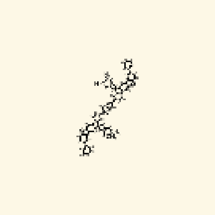 CCCCC1(CCCC)c2cc(-c3cc4sc(-c5ccc6c(c5)C(CCCC)(CCCC)C5C=c7c(oc8ccc(-c9ccccc9)cc78)=CC65)cc4s3)ccc2C2C=c3oc4ccc(-c5ccccc5)cc4c3=CC21